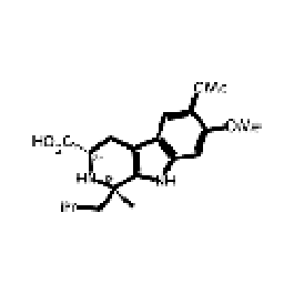 COc1cc2[nH]c3c(c2cc1OC)C[C@@H](C(=O)O)N[C@@]3(C)CC(C)C